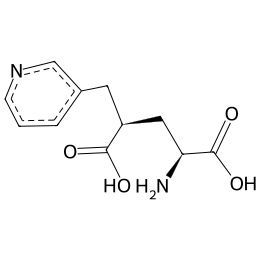 N[C@@H](C[C@H](Cc1cccnc1)C(=O)O)C(=O)O